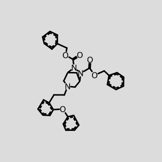 O=C(OCc1ccccc1)N1C2CC(CN(CCc3ccccc3Oc3ccccc3)C2)N1C(=O)OCc1ccccc1